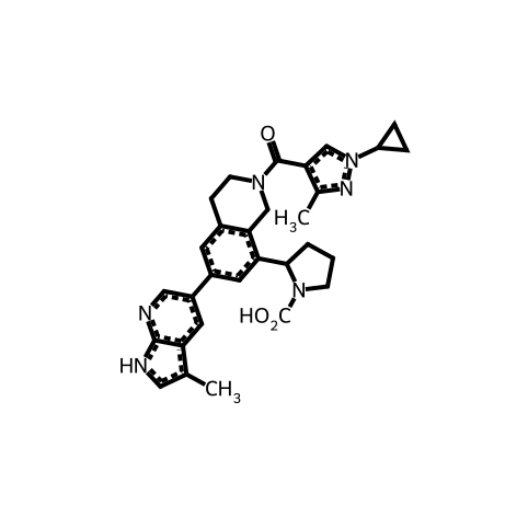 Cc1nn(C2CC2)cc1C(=O)N1CCc2cc(-c3cnc4[nH]cc(C)c4c3)cc(C3CCCN3C(=O)O)c2C1